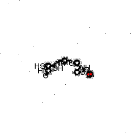 O=C(N[C@@H](c1ccccc1)c1cccc(OCc2ccc(CNCC(O)c3ccc(O)c4[nH]c(=O)ccc34)cc2)c1)OC1CN2CCC1CC2